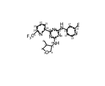 CC1COCC1Nc1nc(Nc2ccnc(F)c2)nc(-c2cccc(C(F)(F)F)n2)n1